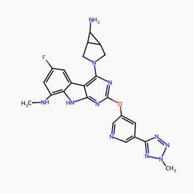 CNc1cc(F)cc2c1[nH]c1nc(Oc3cncc(-c4nnn(C)n4)c3)nc(N3CC4C(N)C4C3)c12